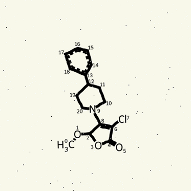 COC1OC(=O)C(Cl)=C1N1CCC(c2ccccc2)CC1